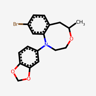 CC1Cc2ccc(Br)cc2N(c2ccc3c(c2)OCO3)CCO1